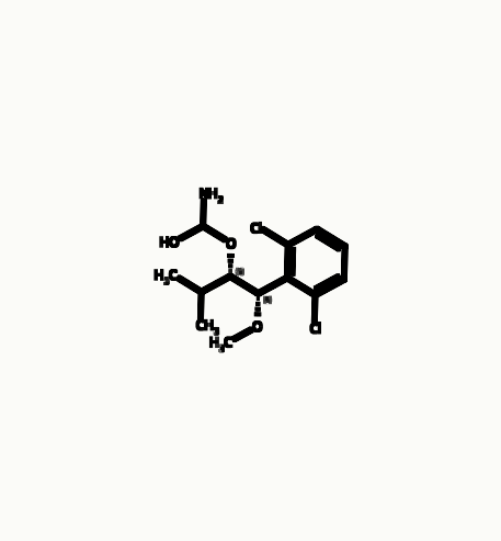 CO[C@@H](c1c(Cl)cccc1Cl)[C@@H](OC(N)O)C(C)C